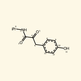 CC(C)NC(=O)C(=O)Cc1ccc(O)cc1